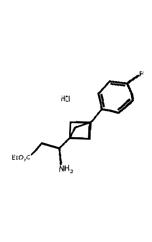 CCOC(=O)CC(N)C12CC(c3ccc(F)cc3)(C1)C2.Cl